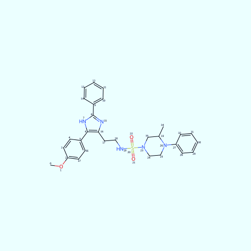 COc1ccc(-c2[nH]c(-c3ccccc3)nc2CCNS(=O)(=O)N2CCN(c3ccccc3)C(C)C2)cc1